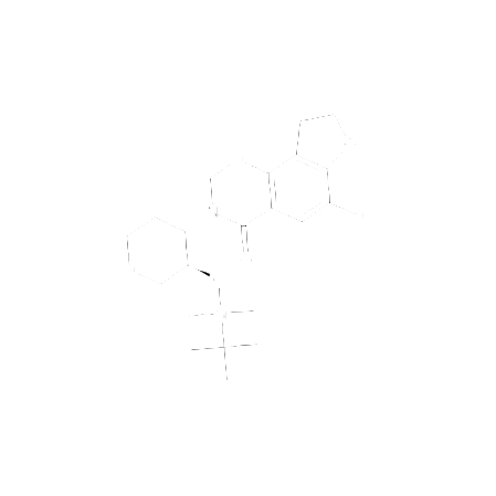 CC(C)(C)[Si](C)(C)O[C@H]1COCC[C@@H]1N1COc2c(cc(Br)c3c2CCO3)C1=O